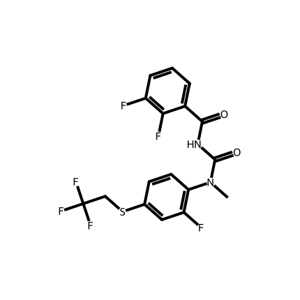 CN(C(=O)NC(=O)c1cccc(F)c1F)c1ccc(SCC(F)(F)F)cc1F